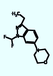 [CH2]Cc1nn(C(F)F)c2cc(N3CCOCC3)ccc12